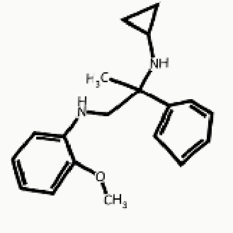 COc1ccccc1NCC(C)(NC1CC1)c1ccccc1